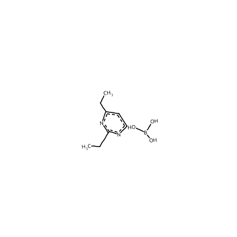 CCc1ccnc(CC)n1.OB(O)O